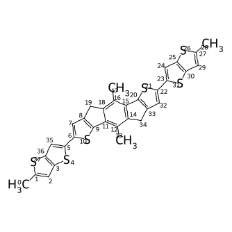 Cc1cc2sc(-c3cc4c(s3)-c3c(C)c5c(c(C)c3C4)-c3sc(-c4cc6sc(C)cc6s4)cc3C5)cc2s1